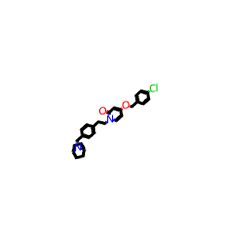 O=c1cc(OCc2ccc(Cl)cc2)ccn1CCc1ccc(CN2C3CCC2CC3)cc1